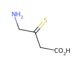 NCC(=S)CC(=O)O